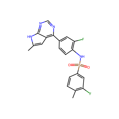 Cc1cc2c(-c3ccc(NS(=O)(=O)c4ccc(C)c(F)c4)c(F)c3)ncnc2[nH]1